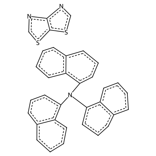 c1ccc2c(N(c3cccc4ccccc34)c3cccc4ccccc34)cccc2c1.c1nc2ncsc2s1